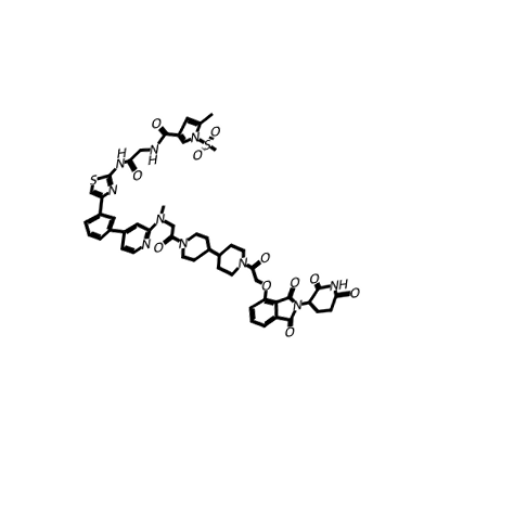 Cc1cc(C(=O)NCC(=O)Nc2nc(-c3cccc(-c4ccnc(N(C)CC(=O)N5CCC(C6CCN(C(=O)COc7cccc8c7C(=O)N(C7CCC(=O)NC7=O)C8=O)CC6)CC5)c4)c3)cs2)cn1S(C)(=O)=O